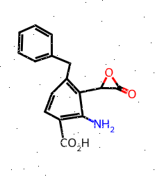 Nc1c(C(=O)O)ccc(Cc2ccccc2)c1C1OC1=O